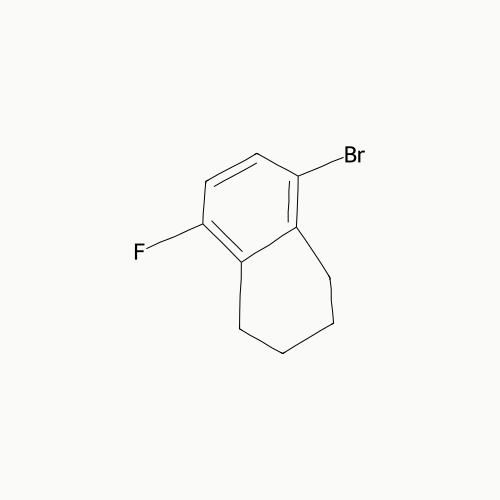 Fc1ccc(Br)c2c1CCCC2